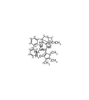 CC1=C(C)C(C)[C]([Hf]([NH]C23CC4CC(CC(C)(C4)C2)C3)[GeH]([CH3])[CH3])=C1C.c1ccc(-c2ccccc2)cc1